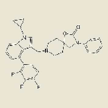 O=C1OC2(CCN(Cc3cn(C4CC4)c4cccc(-c5ccc(F)c(F)c5F)c34)CC2)CN1c1ccccc1